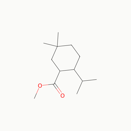 COC(=O)C1CC(C)(C)CCC1C(C)C